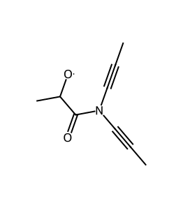 CC#CN(C#CC)C(=O)C(C)[O]